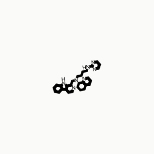 c1cnc(NCCCCN(Cc2nccc3c2[nH]c2ccccc23)[C@H]2CCCc3cccnc32)nc1